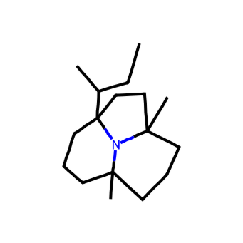 CCC(C)C12CCCC3(C)CCCC(C)(CC1)N32